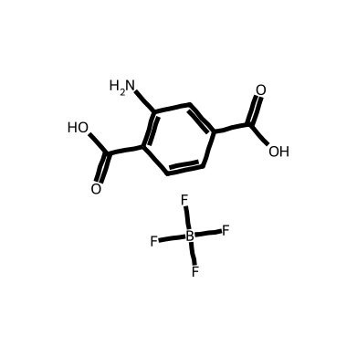 F[B-](F)(F)F.Nc1cc(C(=O)O)ccc1C(=O)O